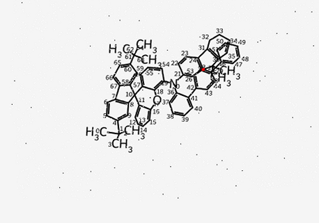 CC(C)(C)c1ccc2c(c1)C1(c3ccccc3Oc3c(N(c4ccc5c(c4)C(C)(C)C4=C5CCC=C4)c4ccccc4-c4ccc(-c5ccccc5)cc4)cccc31)c1cc(C(C)(C)C)ccc1-2